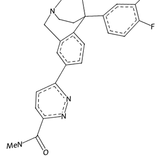 CNC(=O)c1ccc(-c2ccc3c(c2)CN2CCC3(c3ccc(F)c(F)c3)CC2)nn1